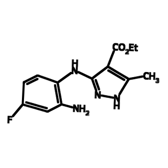 CCOC(=O)c1c(Nc2ccc(F)cc2N)n[nH]c1C